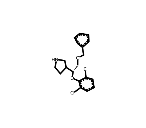 Clc1cccc(Cl)c1O[C@@H](COCc1ccccc1)C1CCNC1